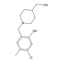 Cc1cc(CN2CCC(CO)CC2)c(O)cc1Cl